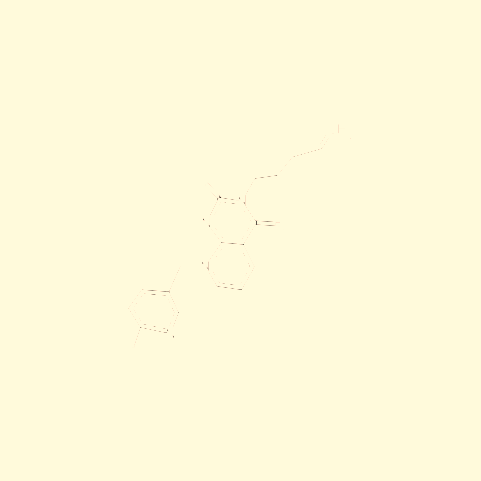 C=CCCCn1c(=O)nc2n(Cc3ccc(Cl)nc3)cccc-2c1=O